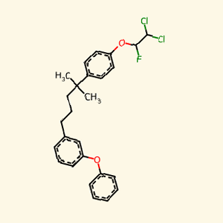 CC(C)(CCCc1cccc(Oc2ccccc2)c1)c1ccc(OC(F)C(Cl)Cl)cc1